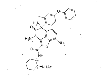 CC(=O)N[C@H]1CCCC[C@@H]1NC(=O)c1sc2c(N)ccc3c2c1C(N)C(=O)C3(N)c1ccc(Oc2ccccc2)cc1C